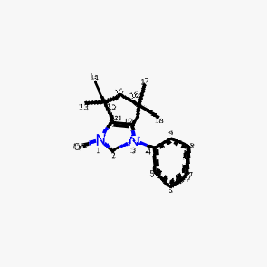 CN1CN(c2ccccc2)C2=C1C(C)(C)CC2(C)C